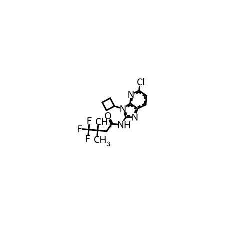 CC(C)(CC(=O)Nc1nc2ccc(Cl)nc2n1C1CCC1)C(F)(F)F